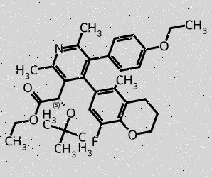 CCOC(=O)[C@@H](OC(C)(C)C)c1c(C)nc(C)c(-c2ccc(OCC)cc2)c1-c1cc(F)c2c(c1C)CCCO2